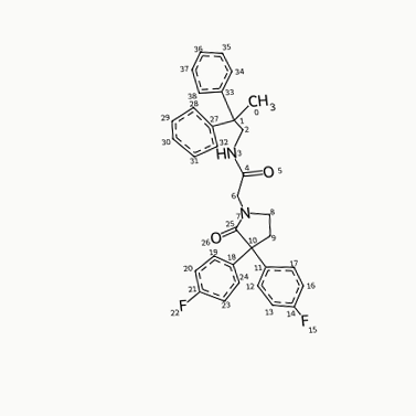 CC(CNC(=O)CN1CCC(c2ccc(F)cc2)(c2ccc(F)cc2)C1=O)(c1ccccc1)c1ccccc1